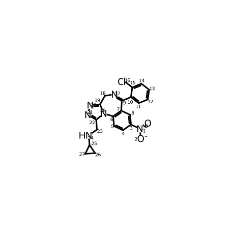 O=[N+]([O-])c1ccc2c(c1)C(c1ccccc1Cl)=NCc1nnc(CNC3CC3)n1-2